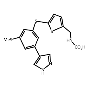 CSc1cc(Sc2ccc(CNC(=O)O)s2)cc(-c2cn[nH]c2)c1